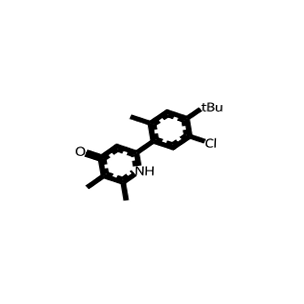 Cc1cc(C(C)(C)C)c(Cl)cc1-c1cc(=O)c(C)c(C)[nH]1